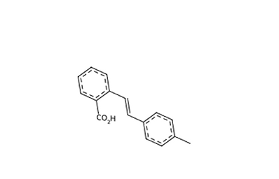 Cc1ccc(C=Cc2ccccc2C(=O)O)cc1